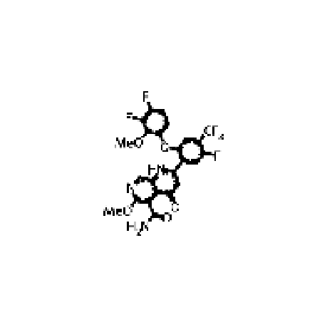 COc1ncc2[nH]c(-c3cc(F)c(C(F)(F)F)cc3Oc3ccc(F)c(F)c3OC)cc(=O)c2c1C(N)=O